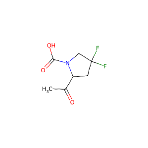 CC(=O)C1CC(F)(F)CN1C(=O)O